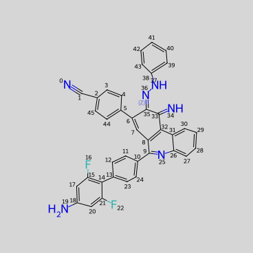 N#Cc1ccc(C2=Cc3c(-c4ccc(-c5c(F)cc(N)cc5F)cc4)nc4ccccc4c3C(=N)/C2=N\Nc2ccccc2)cc1